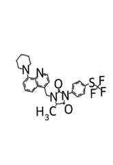 CC1C(=O)N(c2ccc(SC(F)(F)F)cc2)C(=O)N1Cc1ccnc2c(N3CCCCC3)cccc12